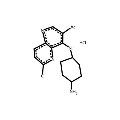 CC(=O)c1cnc2ccc(Cl)nc2c1NC1CCC(N)CC1.Cl